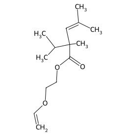 C=COCCOC(=O)C(C)(C=C(C)C)C(C)C